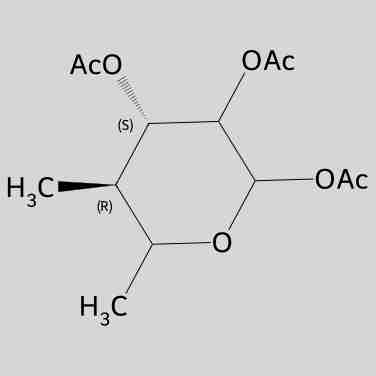 CC(=O)OC1OC(C)[C@@H](C)[C@H](OC(C)=O)C1OC(C)=O